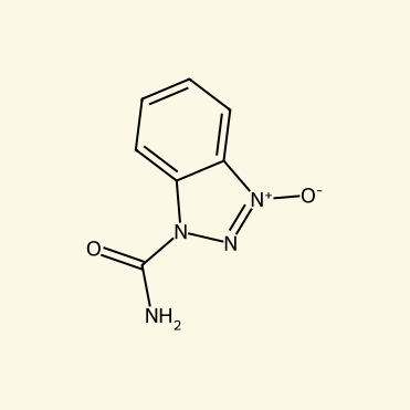 NC(=O)n1n[n+]([O-])c2ccccc21